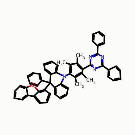 Cc1c(C)c(N2c3ccccc3C(c3ccccc3)(c3cccc4c3oc3ccccc34)c3ccccc32)c(C)c(C)c1-c1nc(-c2ccccc2)nc(-c2ccccc2)n1